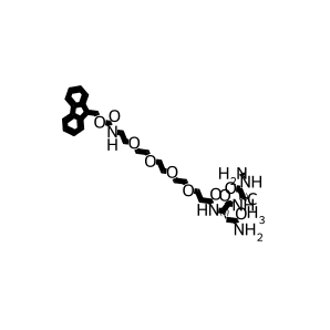 C[C@H](NC(=O)[C@H](CC(N)=O)NC(=O)CCOCCOCCOCCOCCNC(=O)OCC1c2ccccc2-c2ccccc21)C(=O)NN